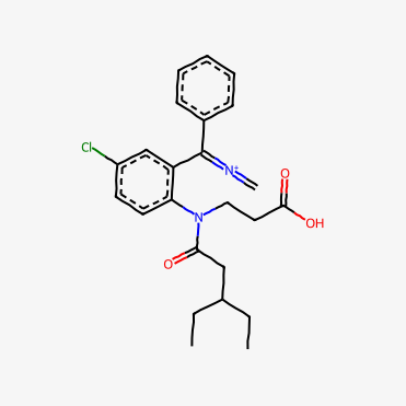 C=[N+]=C(c1ccccc1)c1cc(Cl)ccc1N(CCC(=O)O)C(=O)CC(CC)CC